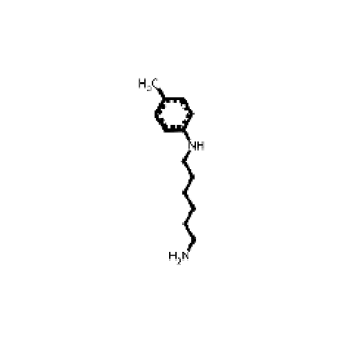 Cc1ccc(NCCCCCCN)cc1